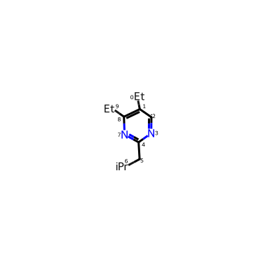 CCc1[c]nc(CC(C)C)nc1CC